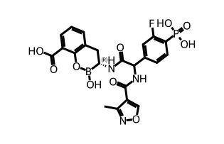 Cc1nocc1C(=O)NC(C(=O)N[C@H]1Cc2cccc(C(=O)O)c2OB1O)c1ccc(P(=O)(O)O)c(F)c1